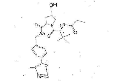 CCC(=O)N[C@H](C(=O)N1C[C@@H](O)CC1C(=O)NCc1ccc(-c2scnc2C)cc1)C(C)(C)C